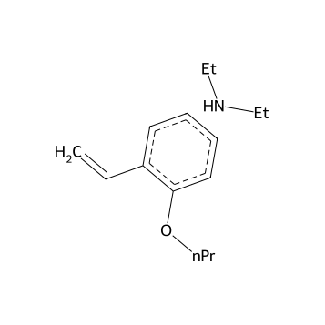 C=Cc1ccccc1OCCC.CCNCC